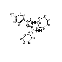 Fc1ccc(-c2c[nH]c([C@@H](NC3CCCCCC3)C3CCCCC3)n2)cc1